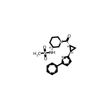 CS(=O)(=O)N[C@@H]1CCCN(C(=O)[C@@H]2C[C@H]2c2ccc(-c3ccccc3)s2)C1